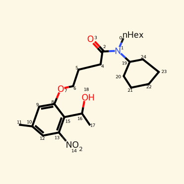 CCCCCCN(C(=O)CCCOc1cc(C)cc([N+](=O)[O-])c1C(C)O)C1CCCCC1